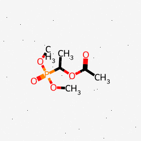 COP(=O)(OC)C(C)OC(C)=O